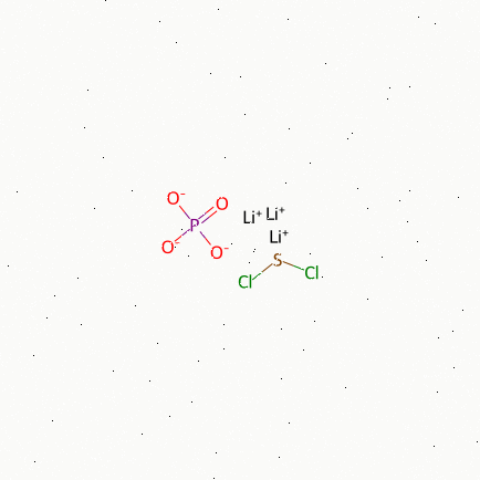 ClSCl.O=P([O-])([O-])[O-].[Li+].[Li+].[Li+]